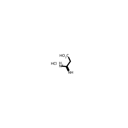 Cl.N=C(N)CC(=O)O